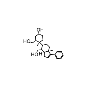 C[C@]1([C@H]2CC[C@]3(C)C(c4ccccc4)=CC[C@H]3[C@@H]2CO)CC[C@H](O)C[C@@H]1CO